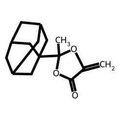 C=C1OC(C)(C23CC4CC(CC(C4)C2)C3)OC1=O